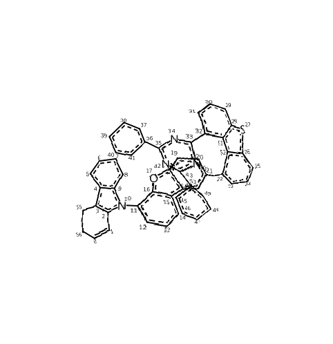 C1=Cc2c(c3ccccc3n2-c2cccc3c2oc2ccc(-c4cccc5sc6cccc(-c7nc(-c8ccccc8)nc(-c8ccccc8)n7)c6c45)cc23)CC1